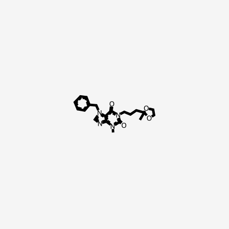 Cn1c(=O)n(CCCC2(C)OCCO2)c(=O)c2c1ncn2Cc1ccccc1